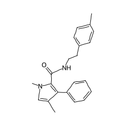 Cc1ccc(CCNC(=O)c2c(-c3ccccc3)c(C)cn2C)cc1